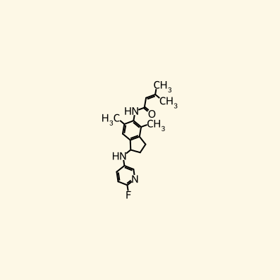 CC(C)=CC(=O)Nc1c(C)cc2c(c1C)CCC2Nc1ccc(F)nc1